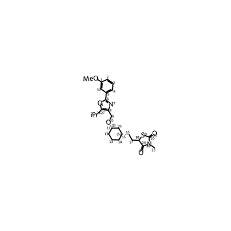 COc1cccc(-c2nc(CO[C@H]3CCC[C@@H](CCC4SC(=O)N(C)C4=O)C3)c(C(C)C)o2)c1